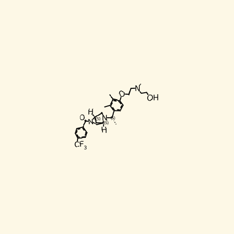 Cc1c(OCCN(C)CCO)ccc([C@H](C)N2C[C@@H]3C[C@H]2CN3C(=O)c2ccc(C(F)(F)F)cc2)c1C